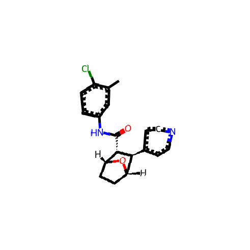 Cc1cc(NC(=O)[C@@H]2[C@@H](c3ccncc3)[C@@H]3CC[C@H]2O3)ccc1Cl